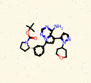 CC(C)(C)OC(=O)N1CCC[C@H]1c1cccc(-c2cc(-c3ccnn3C3CCOCC3)c3c(N)ncnn23)c1